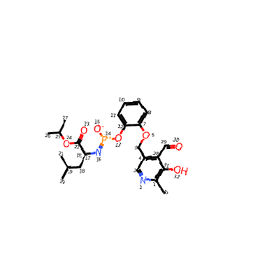 Cc1ncc(COc2ccccc2O[P+]([O-])=N[C@@H](CC(C)C)C(=O)OC(C)C)c(C=O)c1O